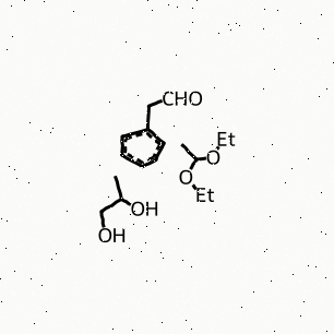 CC(O)CO.CCOC(C)OCC.O=CCc1ccccc1